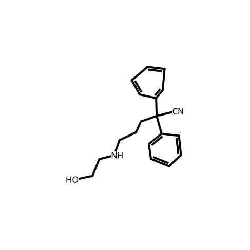 N#CC(CCCNCCO)(c1ccccc1)c1ccccc1